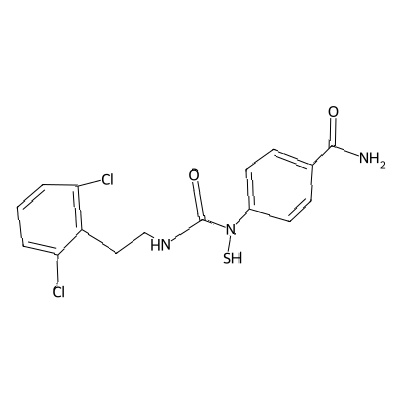 NC(=O)c1ccc(N(S)C(=O)NCCc2c(Cl)cccc2Cl)cc1